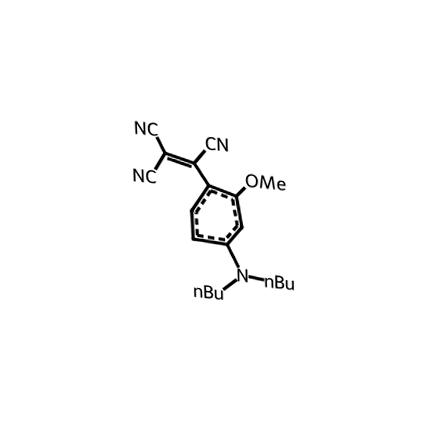 CCCCN(CCCC)c1ccc(C(C#N)=C(C#N)C#N)c(OC)c1